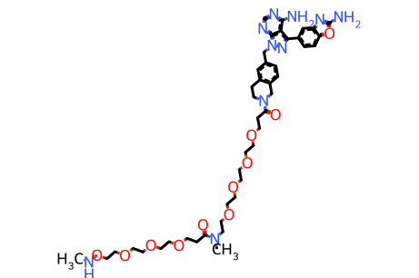 CNOCCOCCOCCOCCC(=O)N(C)CCOCCOCCOCCOCCC(=O)N1CCc2cc(Cn3nc(-c4ccc5oc(N)nc5c4)c4c(N)ncnc43)ccc2C1